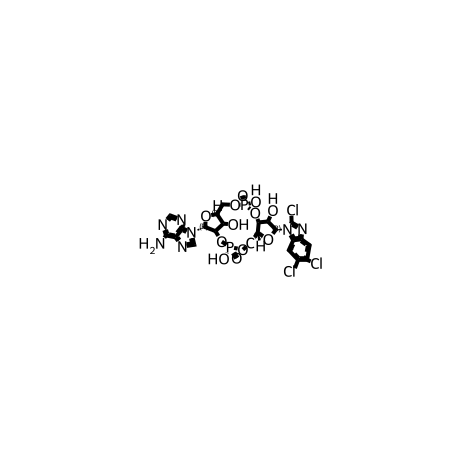 Nc1ncnc2c1ncn2[C@@H]1O[C@@H]2COP(=O)(O)OC3C(O)[C@H](n4c(Cl)nc5cc(Cl)c(Cl)cc54)O[C@@H]3COP(=O)(O)OC1C2O